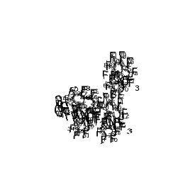 Fc1c(F)c(F)c([N+](c2c(F)c(F)c(F)c3c(F)c(F)c(F)c(F)c23)(C(F)(F)F)C(F)(F)F)c(F)c1F.Fc1c(F)c(F)c([N+](c2c(F)c(F)c(F)c3c(F)c(F)c(F)c(F)c23)(C(F)(F)F)C(F)(F)F)c(F)c1F.Fc1c(F)c(F)c([N+](c2c(F)c(F)c(F)c3c(F)c(F)c(F)c(F)c23)(C(F)(F)F)C(F)(F)F)c(F)c1F.[O-]B([O-])[O-]